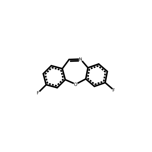 Fc1ccc2c(c1)Oc1cc(F)ccc1N=C2